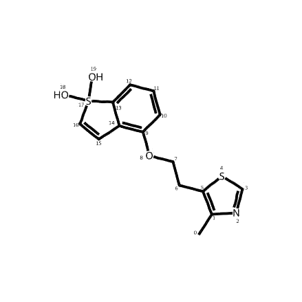 Cc1ncsc1CCOc1cccc2c1C=CS2(O)O